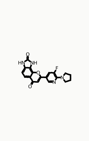 O=c1[nH]c2ccc3c(=O)cc(-c4cnc(N5CCCC5)c(F)c4)oc3c2[nH]1